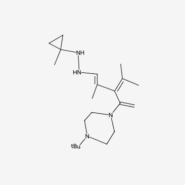 C=C(C(=C(C)C)/C(C)=C/NNC1(C)CC1)N1CCN(C(C)(C)C)CC1